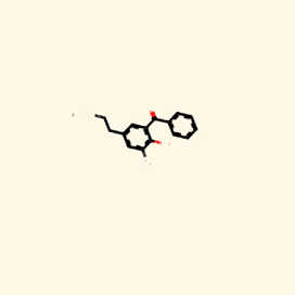 CCCCCCCCCCCCc1cc(C(=O)c2ccccc2)c(O)c([N+](=O)[O-])c1